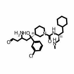 CNC[C@H](CC1CCCCC1)NC(=O)N1CCC[C@@H](C(O)(CC(N)CC=O)c2cccc(Cl)c2)C1